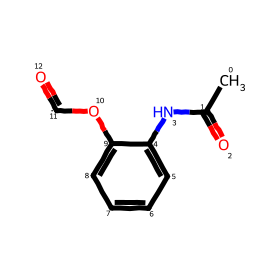 CC(=O)Nc1ccccc1O[C]=O